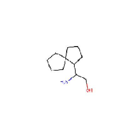 NC(CO)C1CCCC12CCCC2